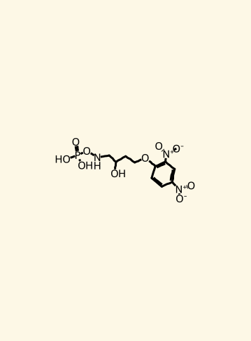 O=[N+]([O-])c1ccc(OCCC(O)CNOP(=O)(O)O)c([N+](=O)[O-])c1